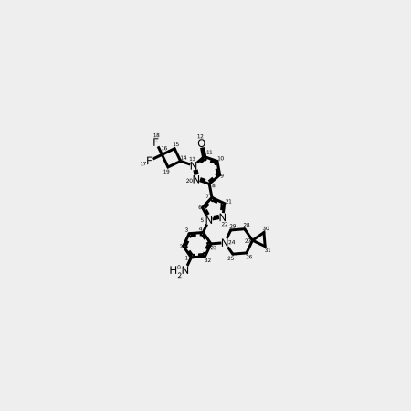 Nc1ccc(-n2cc(-c3ccc(=O)n(C4CC(F)(F)C4)n3)cn2)c(N2CCC3(CC2)CC3)c1